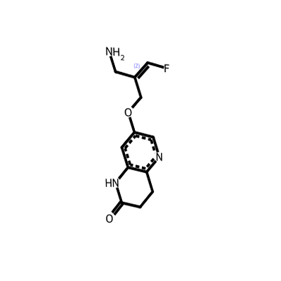 NC/C(=C/F)COc1cnc2c(c1)NC(=O)CC2